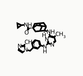 Cc1cnc(Nc2cccc(Cn3ccnc3C)c2)nc1N[C@H]1C2CC3CC1C[C@@](C(=O)NC1CC1)(C3)C2